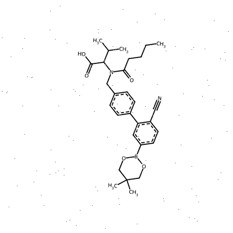 CCCCC(=O)N(Cc1ccc(-c2cc(B3OCC(C)(C)CO3)ccc2C#N)cc1)C(C(=O)O)C(C)C